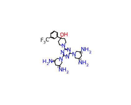 N[C@@H]1C[C@H](N)CN(c2nc(N3CCC(O)(c4cccc(C(F)(F)F)c4)CC3)nc(N3C[C@H](N)C[C@H](N)C3)n2)C1